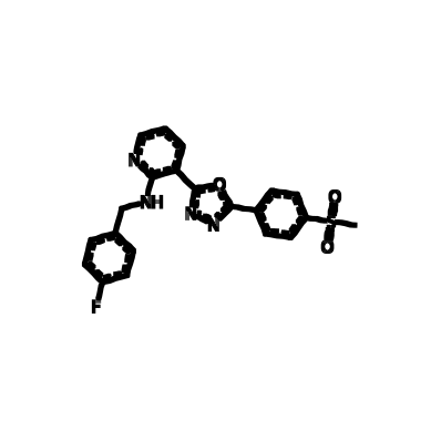 CS(=O)(=O)c1ccc(-c2nnc(-c3cccnc3NCc3ccc(F)cc3)o2)cc1